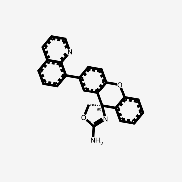 NC1=N[C@]2(CO1)c1ccccc1Oc1ccc(-c3cccc4cccnc34)cc12